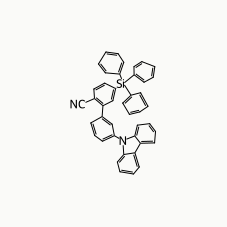 N#Cc1ccc([Si](c2ccccc2)(c2ccccc2)c2ccccc2)cc1-c1cccc(-n2c3ccccc3c3ccccc32)c1